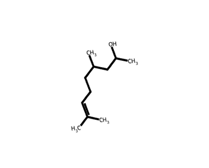 CC(C)=CCCC(C)CC(C)O